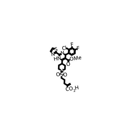 C=C(CCCS(=O)(=O)N1CCC(C2=C(C(=O)OC)C(c3ccc(F)c(F)c3Cl)N=C(c3nccs3)N2)CC1)C(=O)O